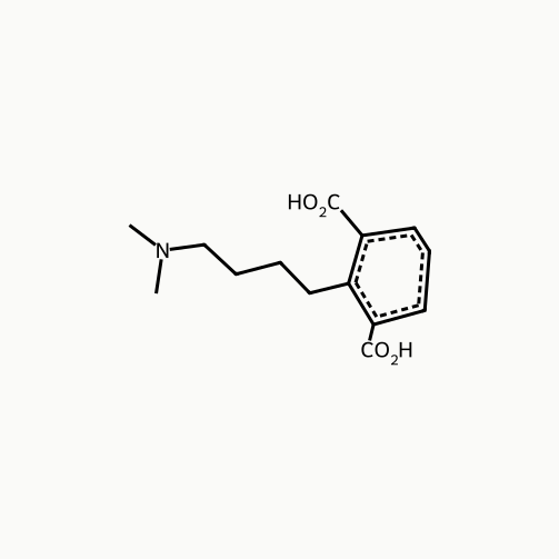 CN(C)CCCCc1c(C(=O)O)cccc1C(=O)O